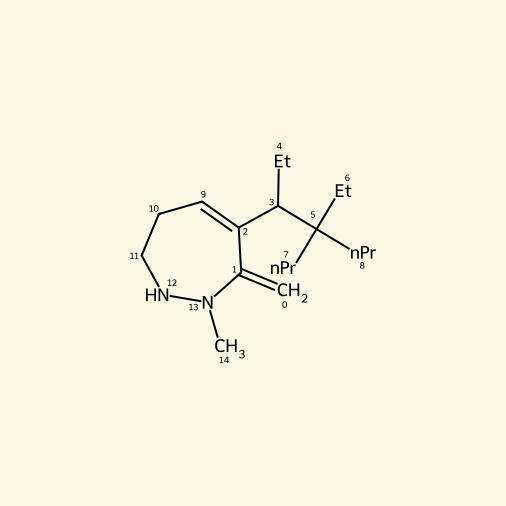 C=C1C(C(CC)C(CC)(CCC)CCC)=CCCNN1C